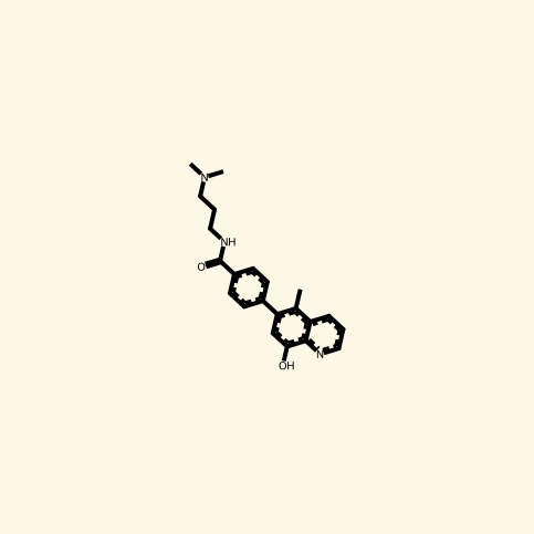 Cc1c(-c2ccc(C(=O)NCCCN(C)C)cc2)cc(O)c2ncccc12